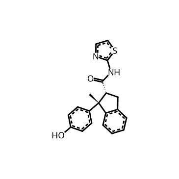 C[C@]1(c2ccc(O)cc2)c2ccccc2C[C@H]1C(=O)Nc1nccs1